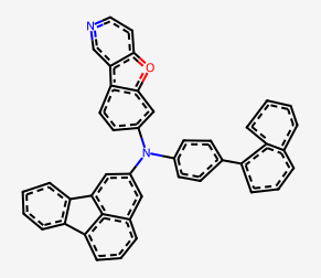 c1ccc2c(c1)-c1cccc3cc(N(c4ccc(-c5cccc6ccccc56)cc4)c4ccc5c(c4)oc4ccncc45)cc-2c13